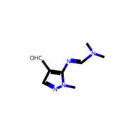 CN(C)/C=N/c1c(C=O)cnn1C